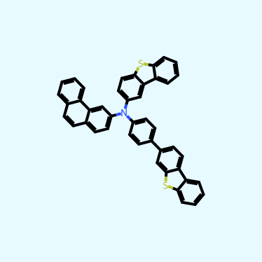 c1ccc2c(c1)ccc1ccc(N(c3ccc(-c4ccc5c(c4)sc4ccccc45)cc3)c3ccc4sc5ccccc5c4c3)cc12